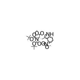 COC(=O)[C@H](Cc1c[nH]c2cccc([N+](=O)[O-])c12)N(C(=O)OC(C)(C)C)C(=O)OC(C)(C)C